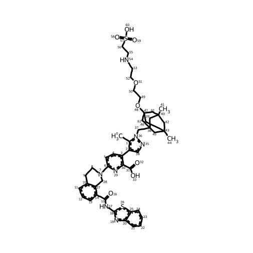 Cc1c(-c2ccc(N3CCc4cccc(C(=O)Nc5nc6ccccc6s5)c4C3)nc2C(=O)O)cnn1CC12CC3(C)CC(C)(C1)CC(OCCOCCNCCS(=O)(=O)O)(C3)C2